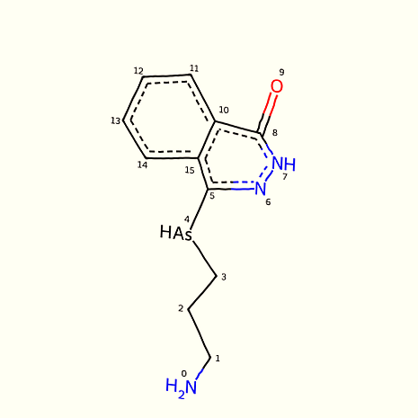 NCCC[AsH]c1n[nH]c(=O)c2ccccc12